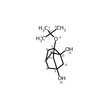 CC(C)(C)OC12CC3CC(O)(CC1(O)C3)C2